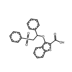 O=C(O)c1sc2ccccc2c1OC(CS(=O)(=O)c1ccccc1)c1ccccc1